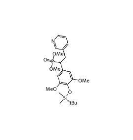 COc1cc(C(Cc2cccnc2)P(=O)(OC)OC)cc(OC)c1O[Si](C)(C)C(C)(C)C